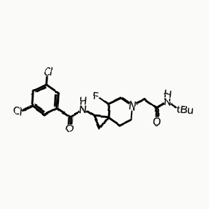 CC(C)(C)NC(=O)CN1CCC2(CC2NC(=O)c2cc(Cl)cc(Cl)c2)C(F)C1